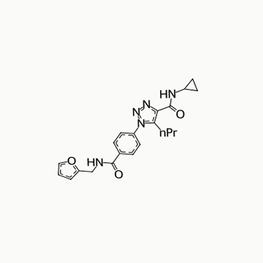 CCCc1c(C(=O)NC2CC2)nnn1-c1ccc(C(=O)NCc2ccco2)cc1